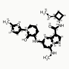 CNc1cc(Nc2cccn(-c3cnc(C)o3)c2=O)nc2c(C(=O)N[C@H]3CC[C@@H]3OC)cnn12